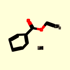 C=COC(=O)c1ccccc1.[LiH]